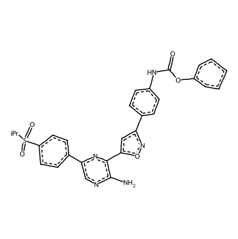 CC(C)S(=O)(=O)c1ccc(-c2cnc(N)c(-c3cc(-c4ccc(NC(=O)Oc5ccccc5)cc4)no3)n2)cc1